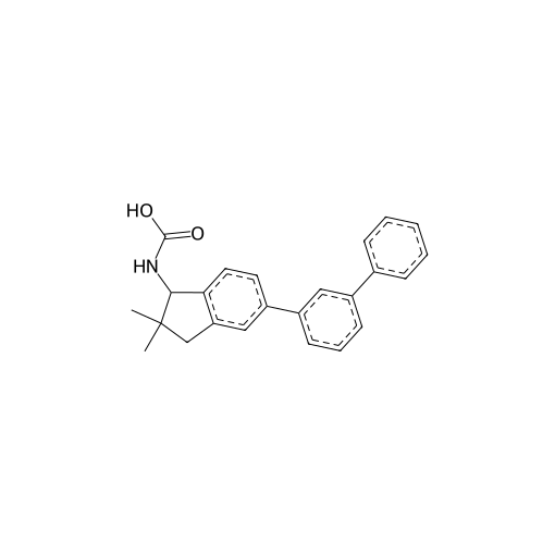 CC1(C)Cc2cc(-c3cccc(-c4ccccc4)c3)ccc2C1NC(=O)O